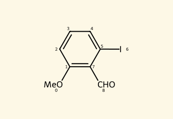 COc1cccc(I)c1C=O